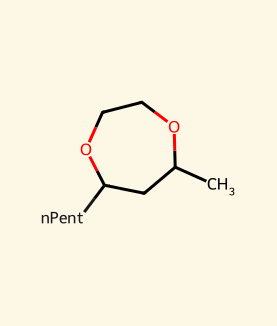 CCCCC[C]1CC(C)OCCO1